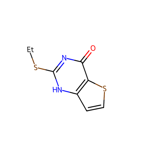 CCSc1nc(=O)c2sccc2[nH]1